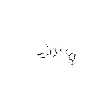 COc1nc(C(=O)NC2COc3ccc(C(F)(F)F)c(F)c32)ccc1-n1cnc(C)c1